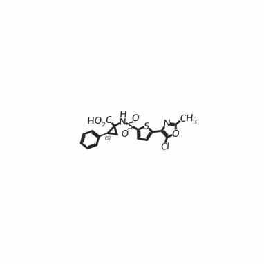 Cc1nc(-c2ccc(S(=O)(=O)NC3(C(=O)O)C[C@H]3c3ccccc3)s2)c(Cl)o1